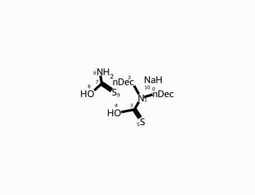 CCCCCCCCCCN(CCCCCCCCCC)C(O)=S.NC(O)=S.[NaH]